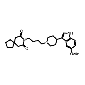 COc1ccc2[nH]cc(C3CCN(CCCCN4C(=O)CC5(CCCC5)CC4=O)CC3)c2c1